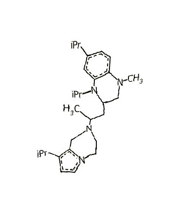 CC(C)c1ccc2c(c1)N(C(C)C)C(CC(C)N1CCn3ccc(C(C)C)c3C1)CN2C